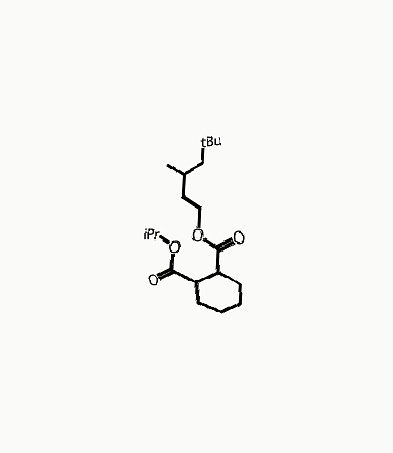 CC(CCOC(=O)C1CCCCC1C(=O)OC(C)C)CC(C)(C)C